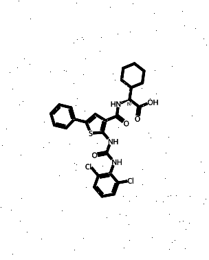 O=C(Nc1sc(-c2ccccc2)cc1C(=O)N[C@H](C(=O)O)C1CCCCC1)Nc1c(Cl)cccc1Cl